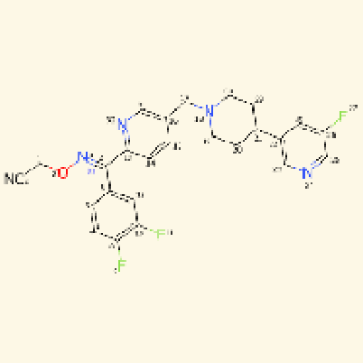 N#CCO/N=C(\c1ccc(F)c(F)c1)c1ccc(CN2CCC(c3cncc(F)c3)CC2)cn1